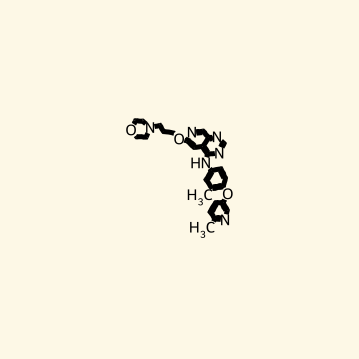 Cc1ccc(Oc2ccc(Nc3ncnc4cnc(OCCCN5CCOCC5)cc34)cc2C)cn1